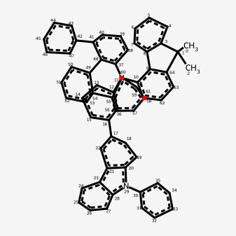 CC1(C)c2ccccc2-c2c(N(c3cccc(-c4ccc5c(c4)c4ccccc4n5-c4ccccc4)c3)c3cccc(-c4ccccc4)c3-c3ccccc3-c3ccccc3)cccc21